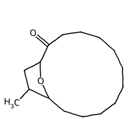 CC1CC2OC1CCCCCCCCCCC2=O